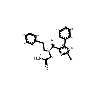 Cc1nc(C(=O)N(CCc2ccccc2)CC(N)=O)c(-c2ccccc2)s1